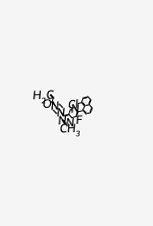 C=CC(=O)N1CCN(c2nc(C)nc3c(F)c(-c4cccc5cccc(Cl)c45)ncc23)CC1